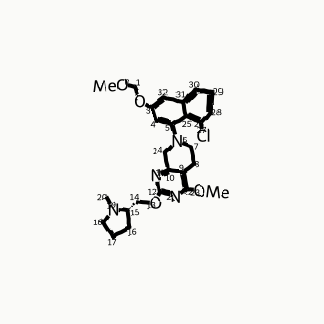 COCOc1cc(N2CCc3c(nc(OC[C@@H]4CCCN4C)nc3OC)C2)c2c(Cl)cccc2c1